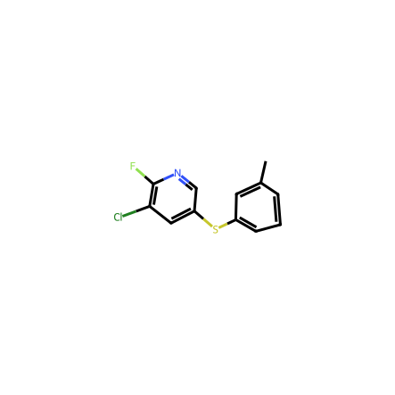 Cc1cccc(Sc2cnc(F)c(Cl)c2)c1